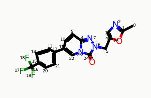 Cc1ncc(Cn2nc3ccc(-c4ccc(C(F)(F)F)cc4)cn3c2=O)o1